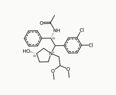 COC(C[N+]1(C(c2ccc(Cl)c(Cl)c2)[C@@H](NC(C)=O)c2ccccc2)CC[C@H](O)C1)OC